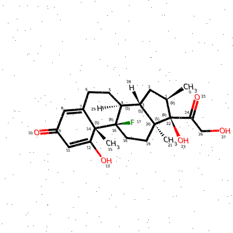 C[C@@H]1C[C@H]2[C@@H]3CCC4=CC(=O)C=C(O)[C@@]4(C)[C@@]3(F)CC[C@]2(C)[C@@]1(O)C(=O)CO